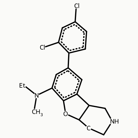 CCN(C)c1cc(-c2ccc(Cl)cc2Cl)cc2c1OC1CCNCC21